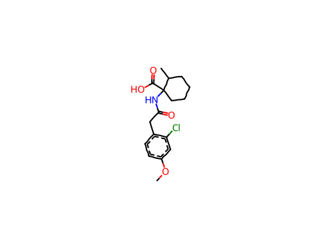 COc1ccc(CC(=O)NC2(C(=O)O)CCCCC2C)c(Cl)c1